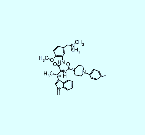 COc1ccc(CN(C)C)cc1NC(=O)[C@H](NC(=O)N1CCN(c2ccc(F)cc2)CC1)[C@H](C)c1c[nH]c2ccccc12